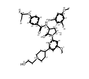 COc1cc(C2CCN(CCO)CC2)nc(N2C(=O)C(NC(=O)c3ccc(OC(F)F)cc3)[C@H](c3c(F)cc(OC)cc3F)[C@@H]2C)c1